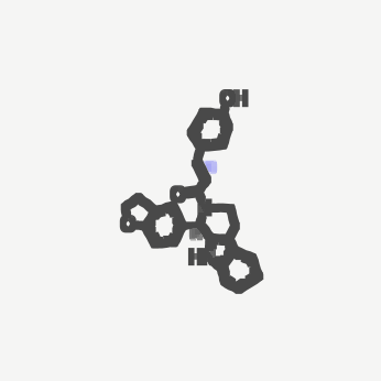 O=C(/C=C/c1ccc(O)cc1)N1CCc2c([nH]c3ccccc23)[C@H]1c1ccc2c(c1)CCO2